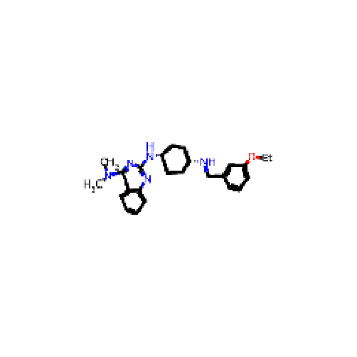 CCOc1cccc(CN[C@H]2CC[C@@H](Nc3nc(N(C)C)c4ccccc4n3)CC2)c1